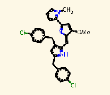 COC1=CC(c2cccn2C)=N/C1=C\c1[nH]c(Cc2ccc(Cl)cc2)cc1Cc1ccc(Cl)cc1